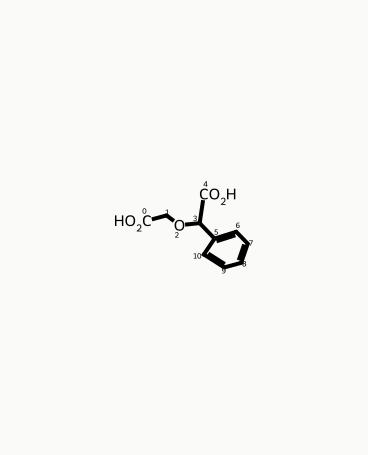 O=C(O)COC(C(=O)O)c1ccccc1